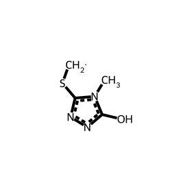 [CH2]Sc1nnc(O)n1C